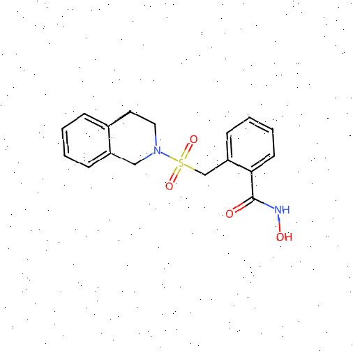 O=C(NO)c1ccccc1CS(=O)(=O)N1CCc2ccccc2C1